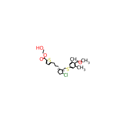 COCc1c(C)cc(SC[C@H]2C(Cl)CC[C@@H]2CCCc2ccc(C(=O)OCCO)s2)cc1C